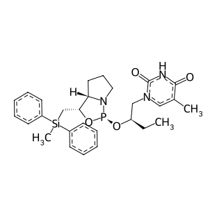 CC[C@H](Cn1cc(C)c(=O)[nH]c1=O)O[P@@]1O[C@H](C[Si](C)(c2ccccc2)c2ccccc2)[C@@H]2CCCN21